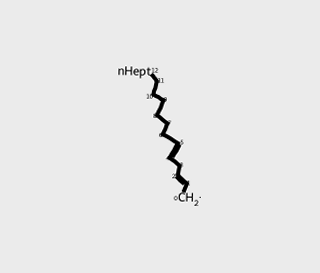 [CH2]C=CCC=CCCCCCCCCCCCCC